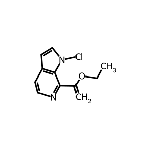 C=C(OCC)c1nccc2ccn(Cl)c12